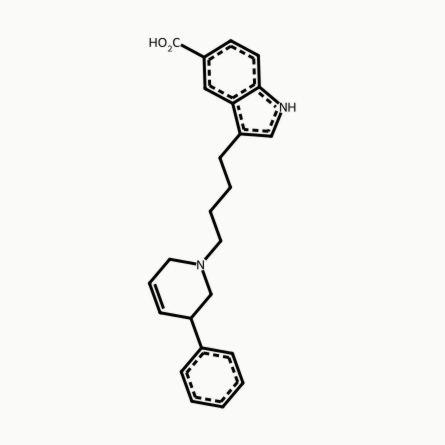 O=C(O)c1ccc2[nH]cc(CCCCN3CC=CC(c4ccccc4)C3)c2c1